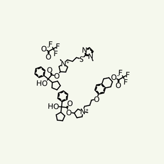 C[N+]1(CCCOc2ccc3c(c2)CCCC3)CCC(OC(=O)C(O)(c2ccccc2)C2CCCC2)C1.Cn1ccnc1SCCC[N+]1(C)CCC(OC(=O)C(O)(c2ccccc2)C2CCCC2)C1.O=C([O-])C(F)(F)F.O=C([O-])C(F)(F)F